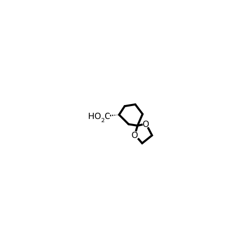 O=C(O)[C@@H]1CCCC2(C1)OCCO2